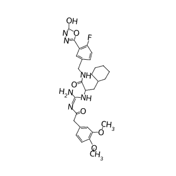 COc1ccc(CC(=O)N=C(N)NC(CC2CCCCC2)C(=O)NCc2ccc(F)c(-c3nnc(O)o3)c2)cc1OC